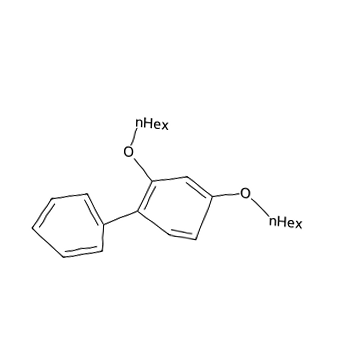 CCCCCCOc1ccc(-c2ccccc2)c(OCCCCCC)c1